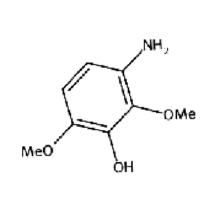 COc1ccc(N)c(OC)c1O